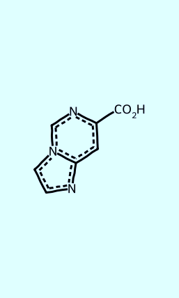 O=C(O)c1cc2nccn2cn1